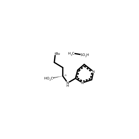 CC(C)(C)CC[C@H](Nc1ccncn1)C(=O)O.CS(=O)(=O)O